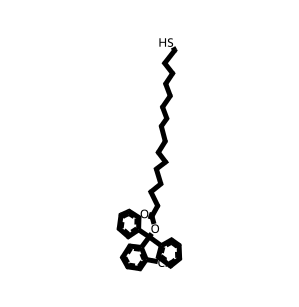 O=C(CCCCCCCCCCCCCCCS)OC(c1ccccc1)(c1ccccc1)c1ccccc1Cl